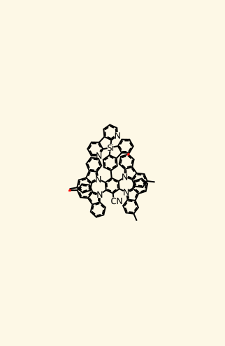 Cc1ccc2c(c1)c1ccccc1n2-c1c(C#N)c(-n2c3ccccc3c3cc(C)ccc32)c(-n2c3ccccc3c3cc(C)ccc32)c(-c2ccc3c(c2)-c2ccccc2[Si]32c3ncccc3-c3cccnc32)c1-n1c2ccccc2c2cc(C)ccc21